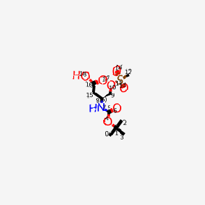 CC(C)(C)OC(=O)N[C@H](COS(C)(=O)=O)CC(=O)O